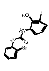 O=C(Nc1ccccc1Br)Nc1cccc(I)c1O